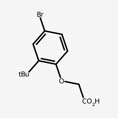 CC(C)(C)c1cc(Br)ccc1OCC(=O)O